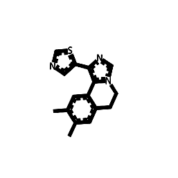 Cc1cc2c(cc1C)-c1c(-c3cncs3)ncn1CC2